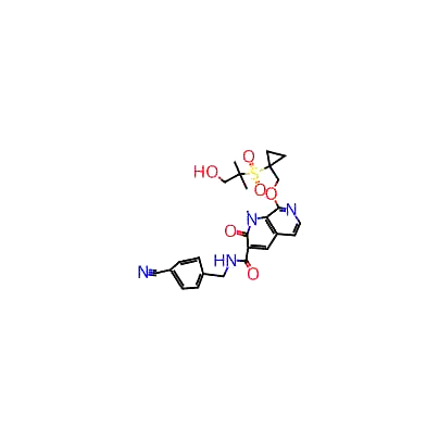 Cn1c(=O)c(C(=O)NCc2ccc(C#N)cc2)cc2ccnc(OCC3(S(=O)(=O)C(C)(C)CO)CC3)c21